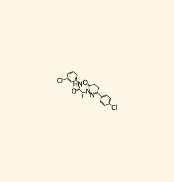 CC(C(=O)Nc1cccc(Cl)c1)N1N=C(c2ccc(Cl)cc2)CCC1=O